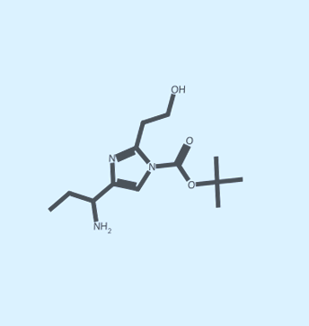 CCC(N)c1cn(C(=O)OC(C)(C)C)c(CCO)n1